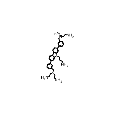 CCCN(CCN)Cc1cccc(-c2ccc3c4ccc(-c5cccc(CN(CCN)CCN)c5)cc4n(CCCN)c3c2)c1